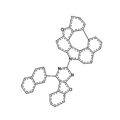 c1ccc2cc(-c3nc(-n4c5ccc6cccc7c6c5c5c6c(ccc54)oc4cccc-7c46)nc4oc5ccccc5c34)ccc2c1